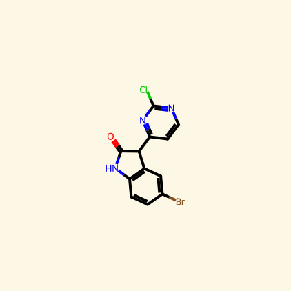 O=C1Nc2ccc(Br)cc2C1c1ccnc(Cl)n1